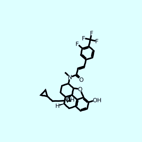 CN(C(=O)/C=C/c1ccc(C(F)(F)F)c(F)c1)C1CC[C@@]2(O)[C@H]3Cc4ccc(O)c5c4[C@@]2(CCN3CC2CC2)C1O5